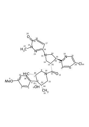 COc1ccc([C@@]2(O)[C@H](C)CN(C(=O)[C@@H]3CN(c4ccc(=O)n(C)n4)C[C@H]3c3ccc(Cl)cn3)C[C@@H]2C)cc1